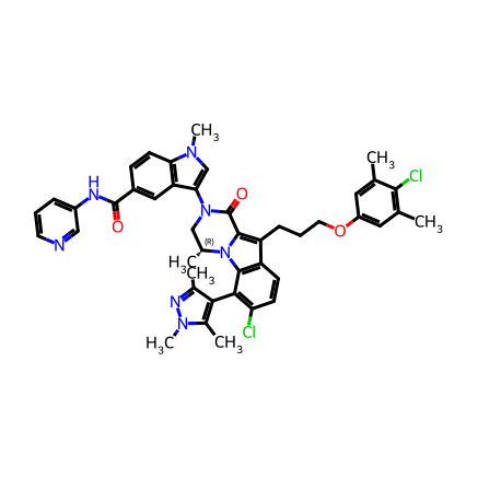 Cc1cc(OCCCc2c3n(c4c(-c5c(C)nn(C)c5C)c(Cl)ccc24)[C@H](C)CN(c2cn(C)c4ccc(C(=O)Nc5cccnc5)cc24)C3=O)cc(C)c1Cl